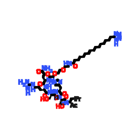 CC(=O)[C@@H](CC(C)C)NC(=O)[C@H](CO)NC(=O)[C@H](Cc1c[nH]cn1)NC(=O)[C@H](CO)NC(=O)[C@H](CCCNC(=N)N)NC(=O)[C@H](CCC(N)=O)NC(=O)COCCOCCNC(=O)CCCCCCCCCCCCCCCc1nnn[nH]1